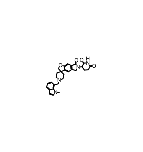 Cn1ccc2cccc(CN3CCC4(CC3)COc3cc5c(cc34)CN(C3CCC(=O)NC3=O)C5=O)c21